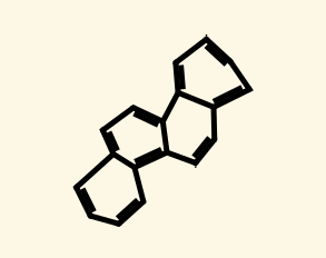 [c]1ccc2c[c]c3c4ccccc4ccc3c2c1